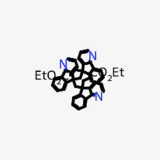 CCOC(=O)CCC1(CC2(CC3(CCC(=O)OCC)c4ccccc4-c4ncccc43)c3ccccc3-c3ncccc32)c2ccccc2-c2ncccc21